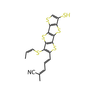 C/C=C\Sc1c(/C=C/C=C(/C)C#N)sc2c1sc1c3scc(S)c3sc21